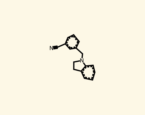 N#Cc1cccc(CN2CCc3ccccc32)c1